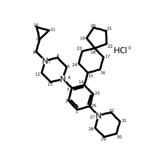 Cl.c1cc(N2CCN(CC3CC3)CC2)c(C2CCC3(CCCC3)CC2)cc1N1CCCCC1